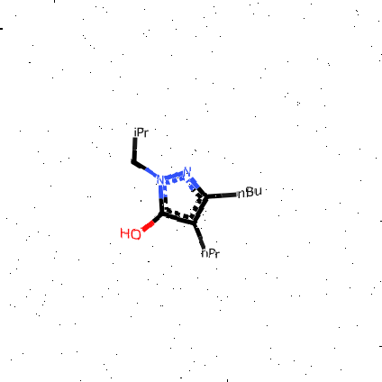 CCCCc1nn(CC(C)C)c(O)c1CCC